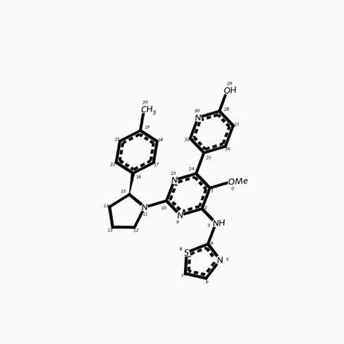 COc1c(Nc2nccs2)nc(N2CCC[C@H]2c2ccc(C)cc2)nc1-c1ccc(O)nc1